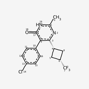 Cc1nc([C@H]2C[C@@H](C(F)(F)F)C2)c(-c2ccc(Cl)cc2)c(=O)[nH]1